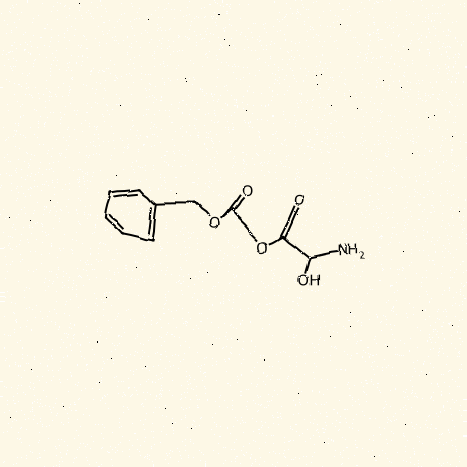 NC(O)C(=O)OC(=O)OCc1ccccc1